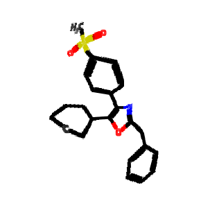 CS(=O)(=O)c1ccc(-c2nc(Cc3ccccc3)oc2C2CCCCC2)cc1